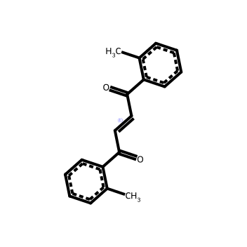 Cc1ccccc1C(=O)/C=C/C(=O)c1ccccc1C